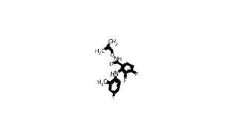 C=C(C)CONC(=O)c1ccc(F)c(F)c1Nc1ccc(I)cc1C